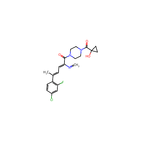 C=N/C(=C\C=C(/C)c1ccc(Cl)cc1F)C(=O)N1CCN(C(=O)C2(O)CC2)CC1